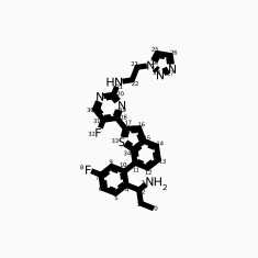 CCC(N)c1ccc(F)cc1-c1cccc2cc(-c3nc(NCCn4ccnn4)ncc3F)sc12